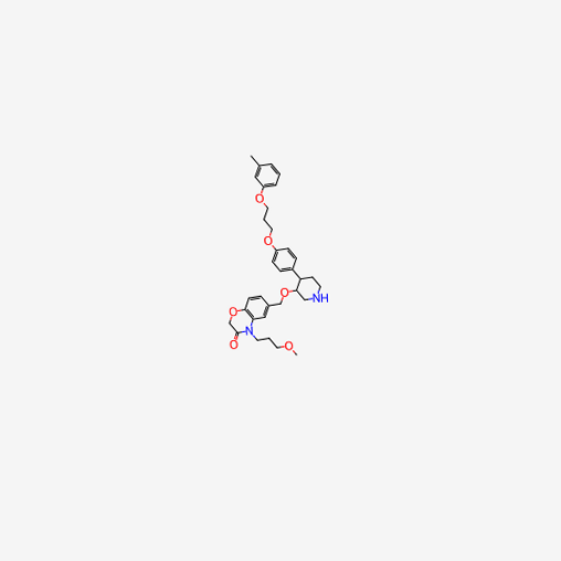 COCCCN1C(=O)COc2ccc(COC3CNCCC3c3ccc(OCCCOc4cccc(C)c4)cc3)cc21